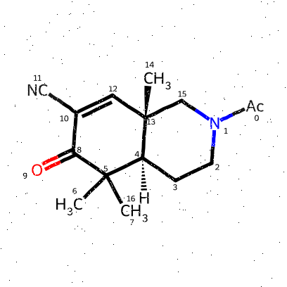 CC(=O)N1CC[C@H]2C(C)(C)C(=O)C(C#N)=C[C@]2(C)C1